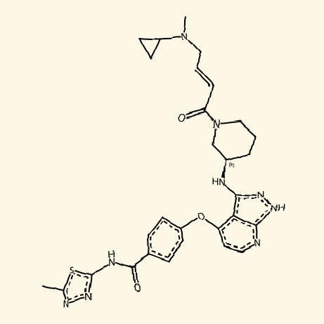 Cc1nnc(NC(=O)c2ccc(Oc3ccnc4[nH]nc(N[C@@H]5CCCN(C(=O)C=CCN(C)C6CC6)C5)c34)cc2)s1